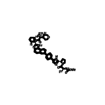 COC(=O)N[C@H](C(=O)N1CCC[C@H]1c1ncc(-c2ccc(-c3ccc4c(ccc5nc([C@@H]6[C@H]7CC[C@H](C7)N6C(=O)[C@@H](NC(=O)O)C6CCOCC6)[nH]c54)c3)cc2)[nH]1)C(C)C